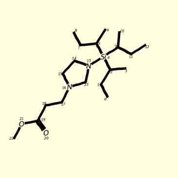 CCC(C)[Si](C(C)CC)(C(C)CC)N1CCN(CCC(=O)OC)C1